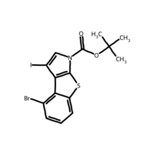 CC(C)(C)OC(=O)n1cc(I)c2c3c(Br)cccc3sc21